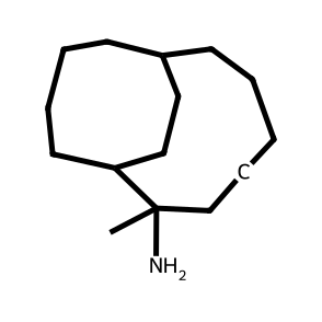 CC1(N)CCCCCC2CCCCC1CC2